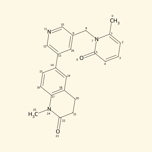 Cc1cccc(=O)n1Cc1cncc(-c2ccc3c(c2)CCC(=O)N3C)c1